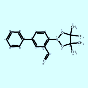 CC1(C)OB(c2ccc(-c3ccccc3)cc2C=O)OC1(C)C